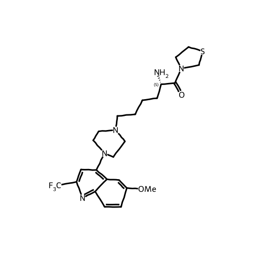 COc1ccc2nc(C(F)(F)F)cc(N3CCN(CCCC[C@H](N)C(=O)N4CCSC4)CC3)c2c1